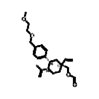 C=C[C@]1(COC=O)CC[C@@H](C(=C)C)[C@H](c2ccc(COCCOC)cc2)C1